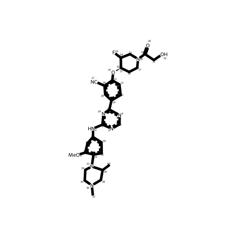 COc1cc(Nc2ncnc(-c3ccc(O[C@H]4CCN(C(=O)CO)CC4F)c(C#N)c3)n2)ccc1N1CCN(C)CC1C